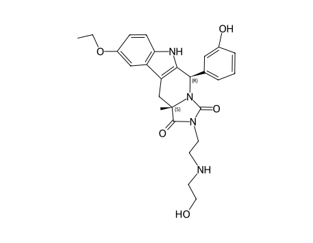 CCOc1ccc2[nH]c3c(c2c1)C[C@@]1(C)C(=O)N(CCNCCO)C(=O)N1[C@@H]3c1cccc(O)c1